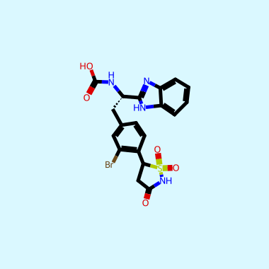 O=C(O)N[C@@H](Cc1ccc(C2CC(=O)NS2(=O)=O)c(Br)c1)c1nc2ccccc2[nH]1